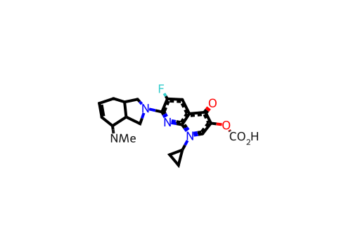 CNC1C=CCC2CN(c3nc4c(cc3F)c(=O)c(OC(=O)O)cn4C3CC3)CC21